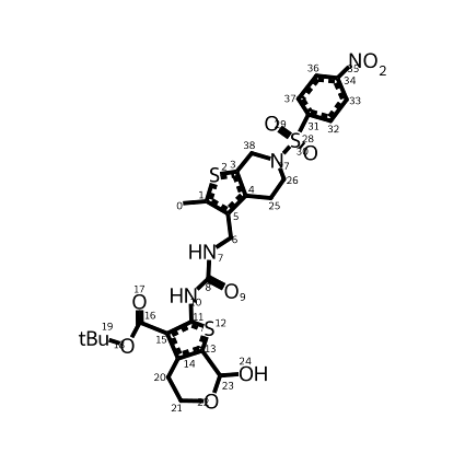 Cc1sc2c(c1CNC(=O)Nc1sc3c(c1C(=O)OC(C)(C)C)CCOC3O)CCN(S(=O)(=O)c1ccc([N+](=O)[O-])cc1)C2